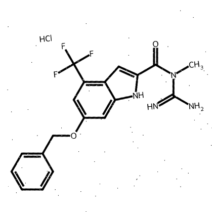 CN(C(=N)N)C(=O)c1cc2c(C(F)(F)F)cc(OCc3ccccc3)cc2[nH]1.Cl